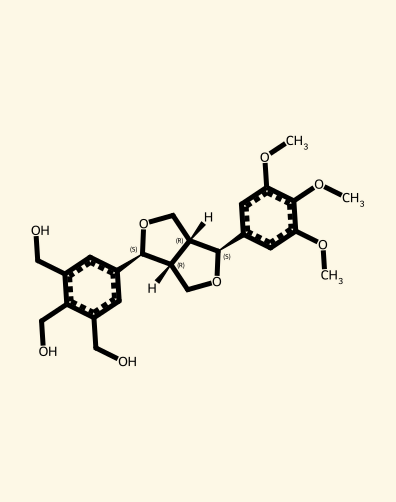 COc1cc([C@H]2OC[C@H]3[C@@H]2CO[C@@H]3c2cc(CO)c(CO)c(CO)c2)cc(OC)c1OC